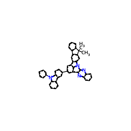 CC1(C)c2ccccc2-c2cc3c4cc(-c5ccc6c(c5)c5ccccc5n6-c5ccccc5)cc5c6nc7ccccc7nc6n(c3cc21)c45